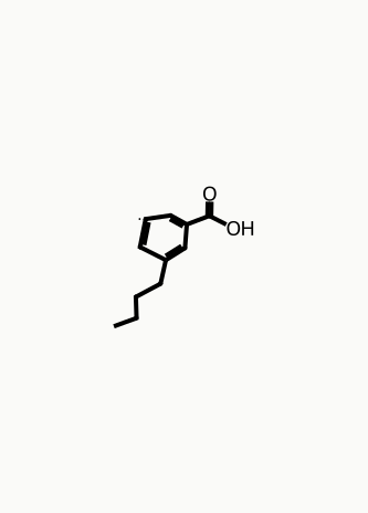 CCCCc1c[c]cc(C(=O)O)c1